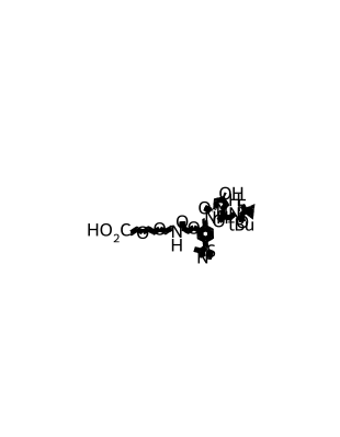 Cc1ncsc1-c1ccc(CNC(=O)[C@@H]2C[C@@H](O)CN2C(=O)[C@@H](NC(=O)C2(F)CC2)C(C)(C)C)c(OCC(=O)NCCOCCOCCC(=O)O)c1